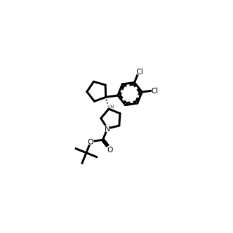 CC(C)(C)OC(=O)N1CC[C@@H](C2(c3ccc(Cl)c(Cl)c3)CCCC2)C1